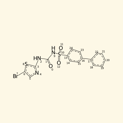 O=C(Nc1ncc(Br)s1)NS(=O)(=O)c1ccc(-c2ccccc2)cc1